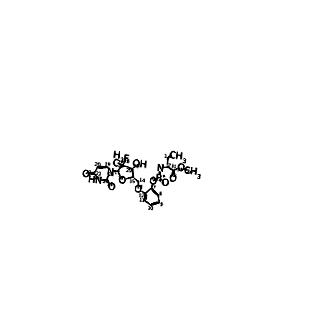 CC[C@H](/N=[P+](\[O-])Oc1ccccc1OC[C@H]1O[C@@H](n2ccc(=O)[nH]c2=O)[C@](C)(F)[C@@H]1O)C(=O)OC